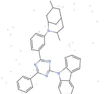 CC1CC2CC(C)N(c3cccc(-c4nc(-c5ccccc5)nc(-n5c6ccccc6c6ccccc65)n4)c3)C(C1)C2